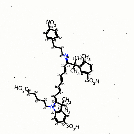 Cc1ccc(S(=O)(=O)O)cc1C(C)(C)C(/C=C/C=C/C=C/C=C1/N(CCCCCC(=O)O)c2ccc(S(=O)(=O)O)cc2C1(C)C)=N/CCCc1ccc([N+](=O)[O-])cc1